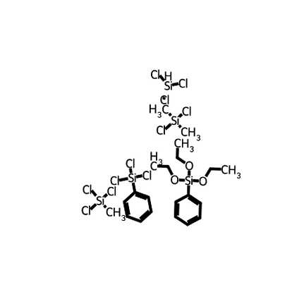 CCO[Si](OCC)(OCC)c1ccccc1.C[Si](C)(Cl)Cl.C[Si](Cl)(Cl)Cl.Cl[SiH](Cl)Cl.Cl[Si](Cl)(Cl)c1ccccc1